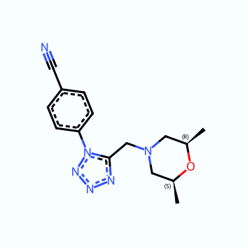 C[C@@H]1CN(Cc2nnnn2-c2ccc(C#N)cc2)C[C@H](C)O1